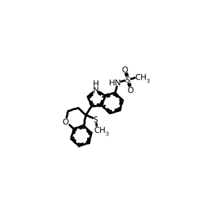 CSC1(c2c[nH]c3c(NS(C)(=O)=O)cccc23)CCOc2ccccc21